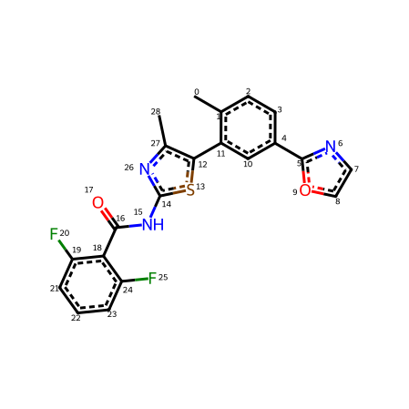 Cc1ccc(-c2ncco2)cc1-c1sc(NC(=O)c2c(F)cccc2F)nc1C